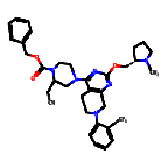 CN1CCC[C@H]1COc1nc2c(c(N3CCN(C(=O)OCc4ccccc4)C(CC#N)C3)n1)CCN(c1ccccc1C(F)(F)F)C2